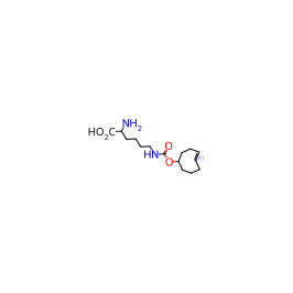 NC(CCCCNC(=O)OC1CC/C=C/CCC1)C(=O)O